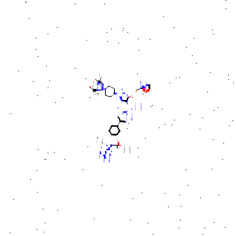 C[C@@H](Cn1cnnn1)Oc1cc(-c2cnc(Nc3cn(C4CCC(N5[C@@H]6CC[C@H]5COC6)CC4)nc3OCc3ncco3)nc2)ccc1C#N